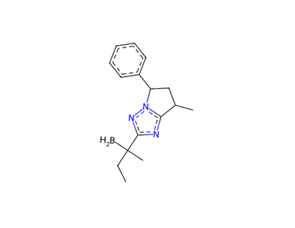 BC(C)(CC)c1nc2n(n1)C(c1ccccc1)CC2C